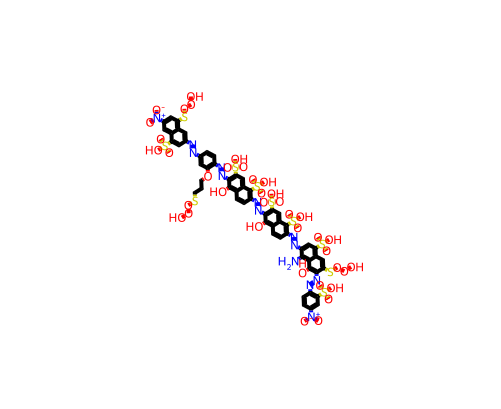 Nc1c(N=Nc2ccc3c(O)c(N=Nc4ccc5c(O)c(N=Nc6ccc(N=Nc7cc(S(=O)(=O)O)c8cc([N+](=O)[O-])cc(SOOO)c8c7)cc6OCCCSOOO)c(S(=O)(=O)O)cc5c4S(=O)(=O)O)c(S(=O)(=O)O)cc3c2S(=O)(=O)O)cc(S(=O)(=O)O)c2cc(SOOO)c(N=Nc3ccc([N+](=O)[O-])cc3S(=O)(=O)O)c(O)c12